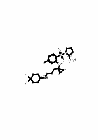 Cc1ccc(S(=O)(=O)N2CCC[C@H]2C(=O)O)c(OC2(CCCNC3CCC(F)(F)CC3)CC2)c1